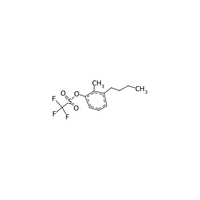 CCCCc1cccc(OS(=O)(=O)C(F)(F)F)c1C